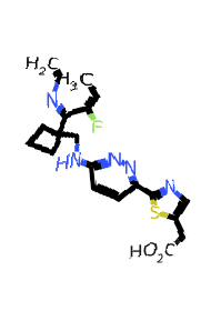 C=C/N=C(\C(F)=C/C)C1(CNc2ccc(-c3ncc(CC(=O)O)s3)nn2)CCC1